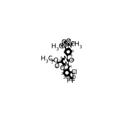 CCOC(=O)c1cn(-c2ccc3c(c2)N(C)S(=O)(=O)N3C)c(=O)n(Cc2cccc(C(F)(F)F)c2Cl)c1=O